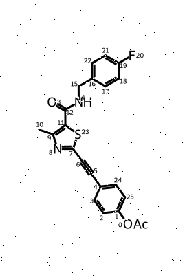 CC(=O)Oc1ccc(C#Cc2nc(C)c(C(=O)NCc3ccc(F)cc3)s2)cc1